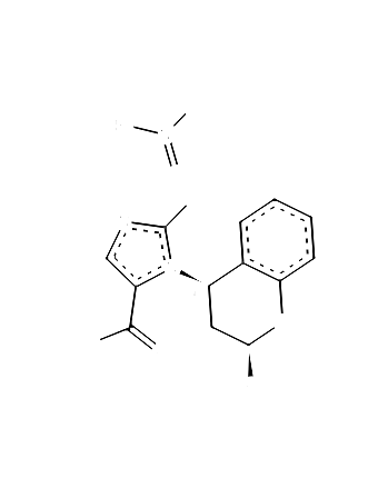 Cc1ncc(C(=O)O)n1[C@@H]1C[C@H](C)Oc2ccccc21.O=[N+]([O-])O